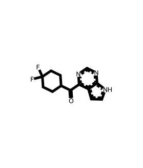 O=C(c1ncnc2[nH]ccc12)C1CCC(F)(F)CC1